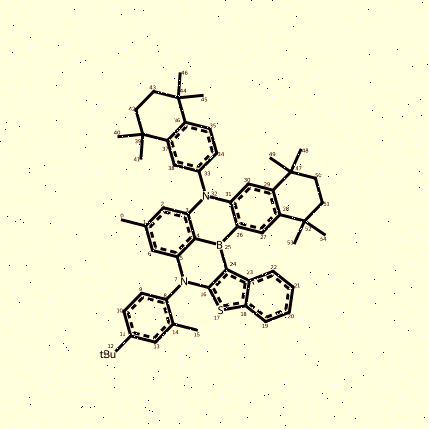 Cc1cc2c3c(c1)N(c1ccc(C(C)(C)C)cc1C)c1sc4ccccc4c1B3c1cc3c(cc1N2c1ccc2c(c1)C(C)(C)CCC2(C)C)C(C)(C)CCC3(C)C